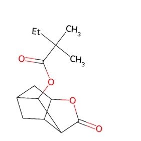 CCC(C)(C)C(=O)OC1C2CC3OC(=O)C1C3C2